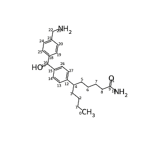 CCCCC(CCCCC(N)=O)c1ccc(C(O)c2ccc(CN)cc2)cc1